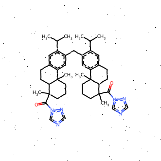 CC(C)c1cc2c(cc1Cc1cc3c(cc1C(C)C)CCC1C(C)(C(=O)n4cncn4)CCCC31C)C1(C)CCCC(C)(C(=O)n3cncn3)C1CC2